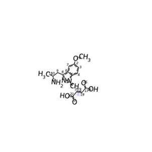 COc1ccc2c(c1)c(CC(C)N)nn2C.O=C(O)/C=C/C(=O)O